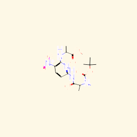 COC(=O)C(C)Nc1nc(NC(=O)C(C)N(C)C(=O)OC(C)(C)C)ccc1[N+](=O)[O-]